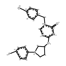 O=c1nc(OC2CCN(c3ccc(F)cc3)C2)ncn1Cc1ccc(Cl)cc1